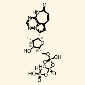 C[C@H]1[C@H](O)[C@@H](COP(=O)(O)OP(=O)(O)OP(=O)(O)O)O[C@H]1c1cc2c3c(ncnn13)NC(=O)C=C2